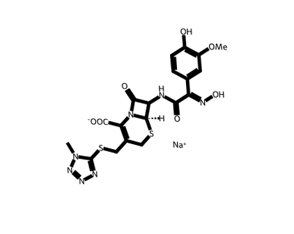 COc1cc(/C(=N\O)C(=O)NC2C(=O)N3C(C(=O)[O-])=C(CSc4nnnn4C)CS[C@H]23)ccc1O.[Na+]